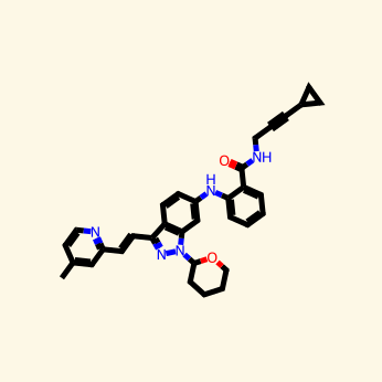 Cc1ccnc(C=Cc2nn(C3CCCCO3)c3cc(Nc4ccccc4C(=O)NCC#CC4CC4)ccc23)c1